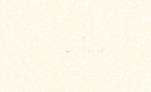 COC(=O)c1ccc(C(=S)I)cc1